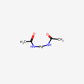 CC(=O)[NH][Pd][NH]C(C)=O